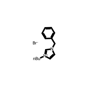 CCCC[n+]1ccn(Cc2ccccc2)c1.[Br-]